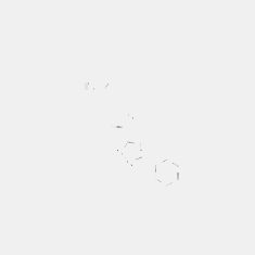 O=CCC(CC(=O)NC1CCC1)NC(=O)c1cc(-c2ccccc2C(F)(F)F)n(C2CCCC2)n1